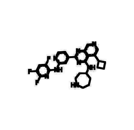 Fc1cc(F)c(Nc2cc(-c3nc(NC4CCCNCC4)c4c(C5CCC5)cncc4n3)ccn2)nc1F